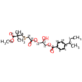 CCC(C)c1ccc(C(=O)OCC(O)COC(=O)CSCC(C)(C)C(=O)OC)cc1